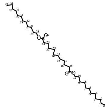 CCCCCCCCCCCCOC(=O)CCCCCCCCCCC(=O)OCCCCCCCCCCCC